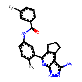 Cc1ccc(NC(=O)c2cccc(C(F)(F)F)c2)cc1-c1nc2[nH]nc(N)c2c2c1CCC2